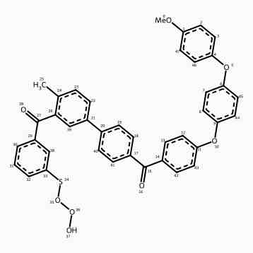 COc1ccc(Oc2ccc(Oc3ccc(C(=O)c4ccc(-c5ccc(C)c(C(=O)c6cccc(SOOO)c6)c5)cc4)cc3)cc2)cc1